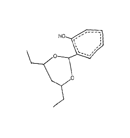 CCC1CC(CC)OC(c2ccccc2O)O1